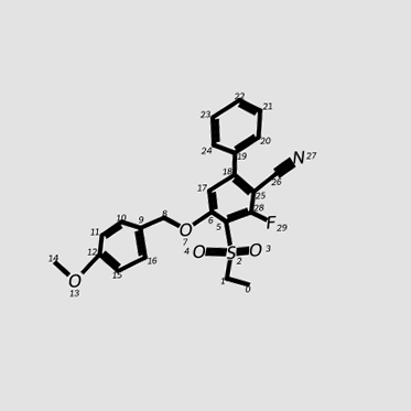 CCS(=O)(=O)c1c(OCc2ccc(OC)cc2)cc(-c2ccccc2)c(C#N)c1F